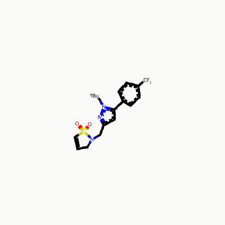 CC(C)(C)n1nc(CN2CC=CS2(=O)=O)cc1-c1ccc(C(F)(F)F)cc1